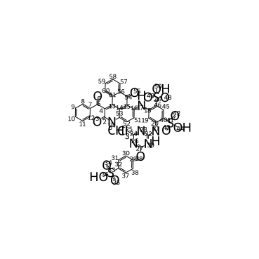 Cn1c(=O)c(C(=O)c2ccccc2)c2c3c(c(Nc4cc(Nc5nc(Cl)nc(Oc6ccc(S(=O)(=O)O)cc6)n5)c(S(=O)(=O)O)cc4S(=O)(=O)O)ccc31)C(=O)c1ccccc1-2